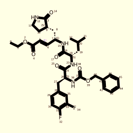 CCOC(=O)/C=C/[C@H](C[C@@H]1CCNC1=O)NC(=O)[C@H](CC(C)C)NC(=O)[C@H](Cc1ccc(F)c(F)c1)NC(=O)OCc1ccccc1